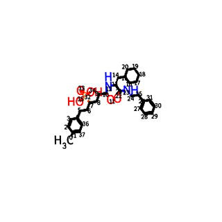 Cc1ccc(CCC(CCC(=O)N[C@@H](CC2CCCCC2)C(=O)NCCc2ccccc2)P(=O)(O)O)cc1